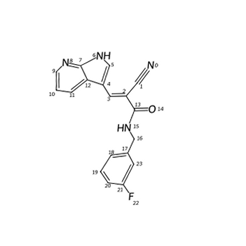 N#C/C(=C\c1c[nH]c2ncccc12)C(=O)NCc1cccc(F)c1